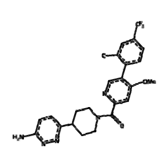 COc1cc(C(=O)N2CCC(c3ccc(N)nn3)CC2)ncc1-c1ccc(C(F)(F)F)cc1Cl